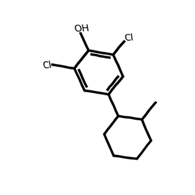 CC1CCCCC1c1cc(Cl)c(O)c(Cl)c1